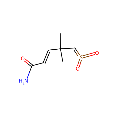 CC(C)(C=CC(N)=O)C=S(=O)=O